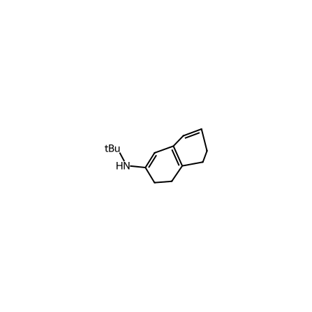 CC(C)(C)NC1=CC2=C(CCC=C2)CC1